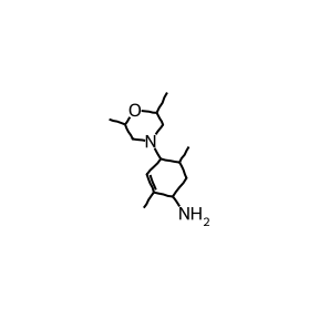 CC1=CC(N2CC(C)OC(C)C2)C(C)CC1N